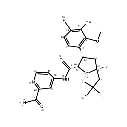 COc1c([C@@H]2C[C@@](C)(CC(F)(F)F)O[C@@H]2C(=O)Nc2ccnc(C(N)=O)c2)ccc(F)c1F